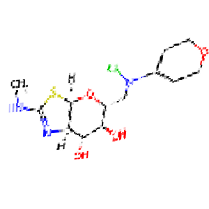 CNC1=N[C@@H]2[C@@H](O)[C@H](O)[C@@H](CN(Cl)C3CCOCC3)O[C@@H]2S1